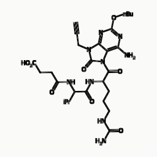 C#CCn1c(=O)n(C(=O)C(CCCNC(N)=O)NC(=O)C(NC(=O)CCC(=O)O)C(C)C)c2c(N)nc(OCCCC)nc21